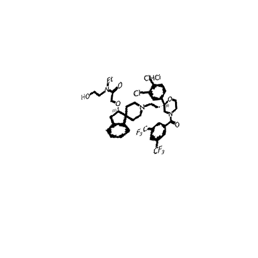 CCN(CCO)C(=O)CO[C@H]1Cc2ccccc2C12CCN(CC[C@@]1(c3ccc(Cl)c(Cl)c3)CN(C(=O)c3cc(C(F)(F)F)cc(C(F)(F)F)c3)CCO1)CC2.Cl